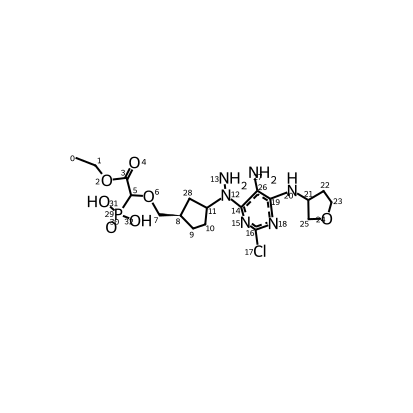 CCOC(=O)C(OC[C@@H]1CCC(N(N)c2nc(Cl)nc(NC3CCOC3)c2N)C1)P(=O)(O)O